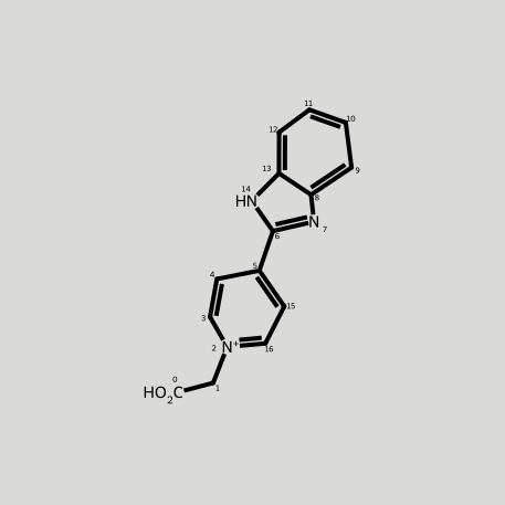 O=C(O)C[n+]1ccc(-c2nc3ccccc3[nH]2)cc1